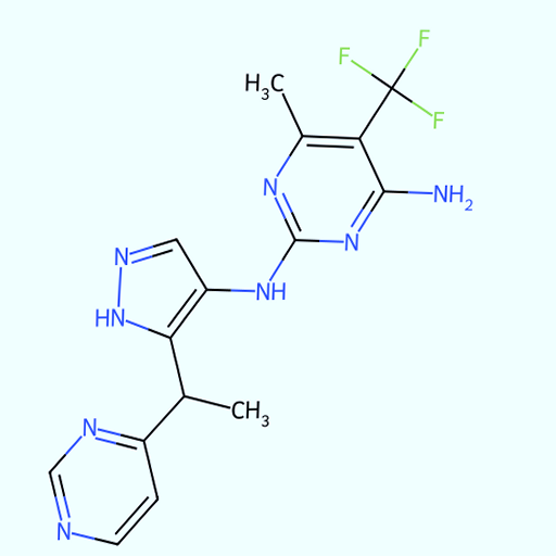 Cc1nc(Nc2cn[nH]c2C(C)c2ccncn2)nc(N)c1C(F)(F)F